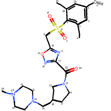 COc1cc(C)c(S(=O)(=O)Cc2nc(C(=O)N3CCC(CN4CCN(C)CC4)C3)no2)c(C)c1